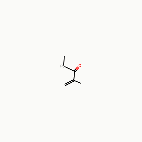 C=C(C)[C](=O)[Po][CH3]